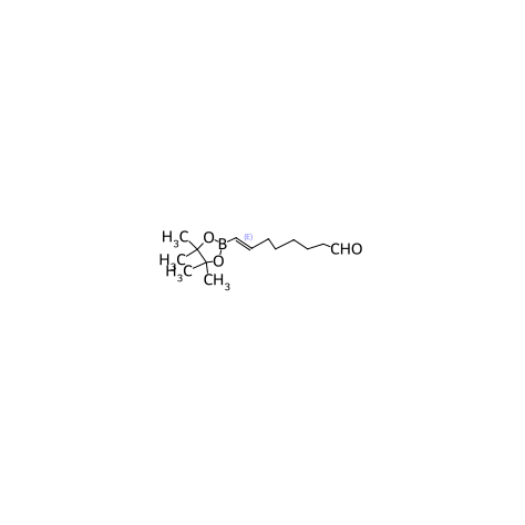 CC1(C)OB(/C=C/CCCCCC=O)OC1(C)C